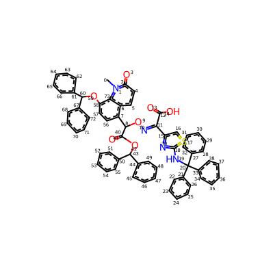 Cn1c(=O)ccc2c(C(ON=C(C(=O)O)c3csc(NC(c4ccccc4)(c4ccccc4)c4ccccc4)n3)C(=O)OC(c3ccccc3)c3ccccc3)ccc(OC(c3ccccc3)c3ccccc3)c21